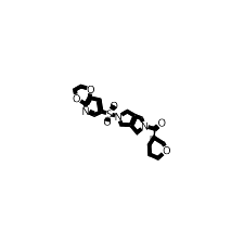 O=C([C@@H]1CCCOC1)N1CC2=C(C1)CN(S(=O)(=O)c1cnc3c(c1)OCCO3)C2